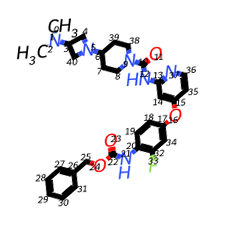 CN(C)C1CN(C2CCN(C(=O)Nc3cc(Oc4ccc(NC(=O)OCc5ccccc5)c(F)c4)ccn3)CC2)C1